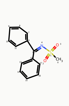 CS(=O)(=O)N=C(c1ccccc1)c1ccccc1